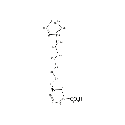 O=C(O)C1=CC=CN(CCCCCCCOc2ccccc2)C1